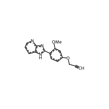 C#CCOc1ccc(-c2nc3ncccc3[nH]2)c(OC)c1